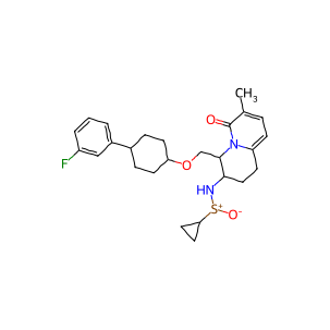 Cc1ccc2n(c1=O)C(COC1CCC(c3cccc(F)c3)CC1)C(N[S+]([O-])C1CC1)CC2